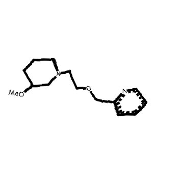 COC1CCCN(CCOCc2ccccn2)C1